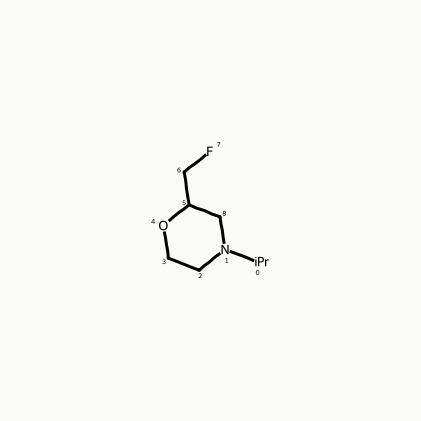 CC(C)N1CCOC(CF)C1